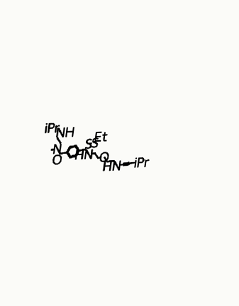 CCSSC(NCCOCCNC#CC(C)C)c1ccc(C(=O)N(C)CCNC(C)C)cc1